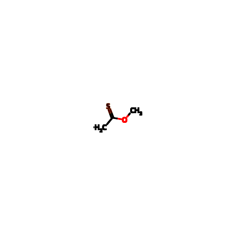 [CH2]C(=S)OC